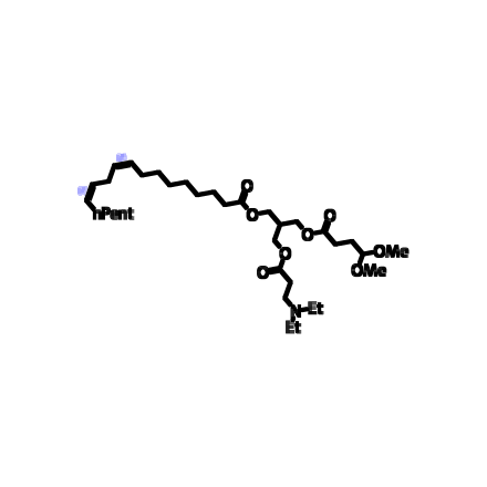 CCCCC/C=C\C/C=C\CCCCCCCC(=O)OCC(COC(=O)CCC(OC)OC)COC(=O)CCN(CC)CC